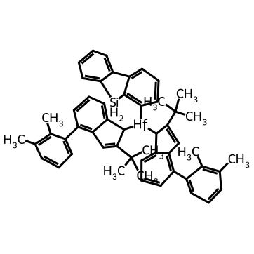 Cc1cccc(-c2cccc3c2C=C(C(C)(C)C)[CH]3[Hf]([c]2cccc3c2[SiH2]c2ccccc2-3)[CH]2C(C(C)(C)C)=Cc3c(-c4cccc(C)c4C)cccc32)c1C